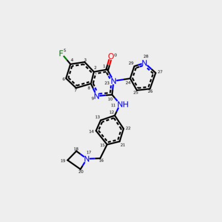 O=c1c2cc(F)ccc2nc(Nc2ccc(CN3CCC3)cc2)n1-c1cccnc1